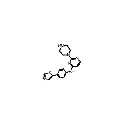 c1cc(Nc2ccc(-c3cncs3)cc2)nc(N2CCNCC2)n1